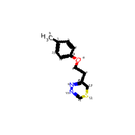 Cc1ccc(OCCC2=NN=CSC2)cc1